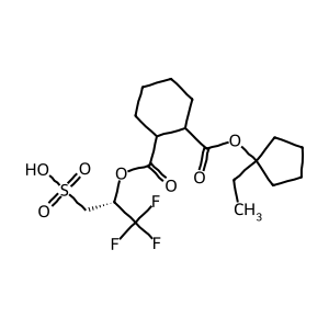 CCC1(OC(=O)C2CCCCC2C(=O)O[C@@H](CS(=O)(=O)O)C(F)(F)F)CCCC1